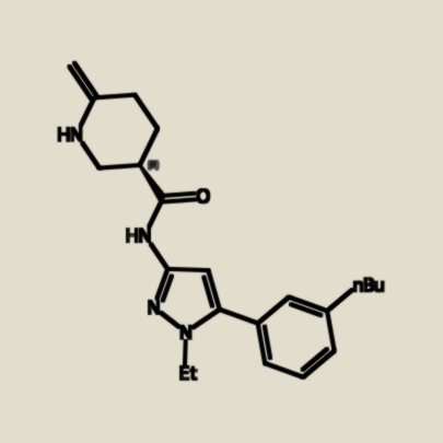 C=C1CC[C@@H](C(=O)Nc2cc(-c3cccc(CCCC)c3)n(CC)n2)CN1